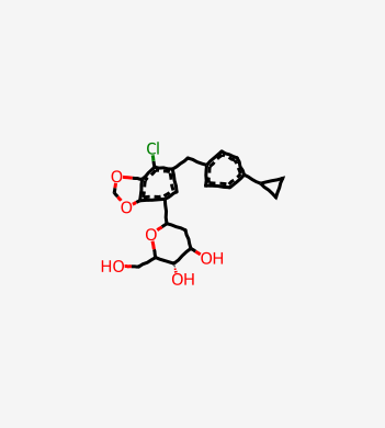 OCC1OC(c2cc(Cc3ccc(C4CC4)cc3)c(Cl)c3c2OCO3)CC(O)[C@@H]1O